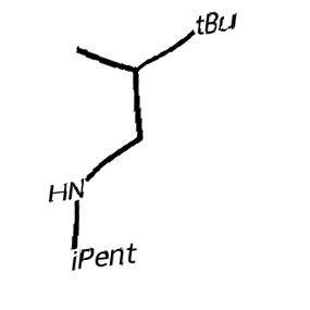 CCCC(C)NCC(C)C(C)(C)C